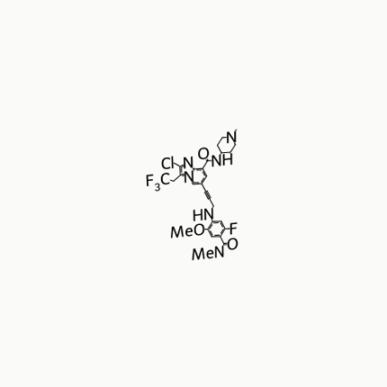 CNC(=O)c1cc(OC)c(NCC#Cc2cc(C(=O)NC3CCN(C)CC3)c3nc(Cl)c(CC(F)(F)F)n3c2)cc1F